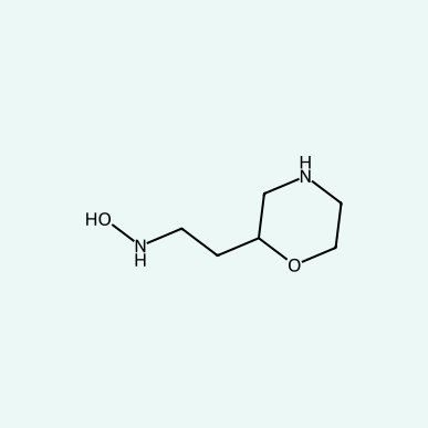 ONCCC1CNCCO1